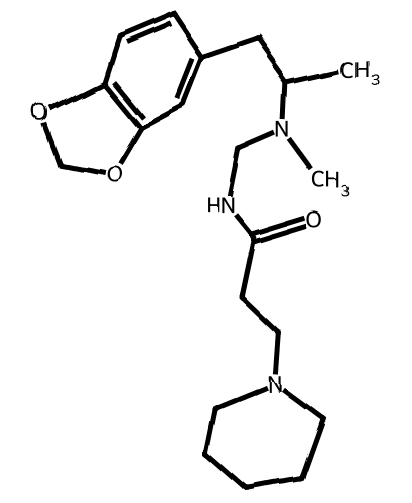 CC(Cc1ccc2c(c1)OCO2)N(C)CNC(=O)CCN1CCCCC1